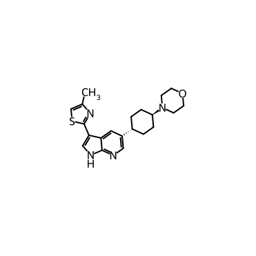 Cc1csc(-c2c[nH]c3ncc([C@H]4CC[C@H](N5CCOCC5)CC4)cc23)n1